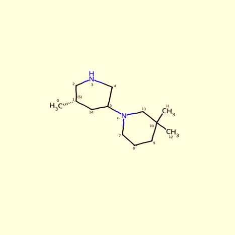 C[C@@H]1CNCC(N2C[CH]CC(C)(C)C2)C1